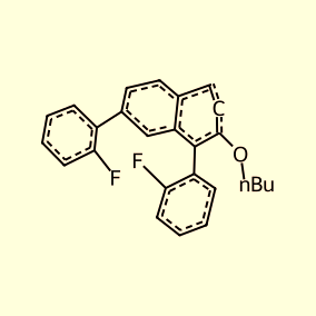 CCCCOc1ccc2ccc(-c3ccccc3F)cc2c1-c1ccccc1F